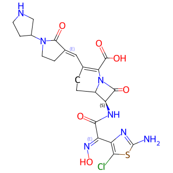 Nc1nc(/C(=N\O)C(=O)N[C@@H]2C(=O)N3C(C(=O)O)=C(/C=C4\CCN(C5CCNC5)C4=O)CCC23)c(Cl)s1